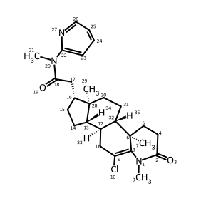 CN1C(=O)CC[C@@]2(C)C1=C(Cl)C[C@H]1[C@@H]3CC[C@H](CC(=O)N(C)c4ccccn4)[C@@]3(C)CC[C@@H]12